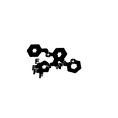 FC1(F)CN(c2nn(C3CCCCO3)c3cccc(OCc4ccccc4)c23)CC1(F)F